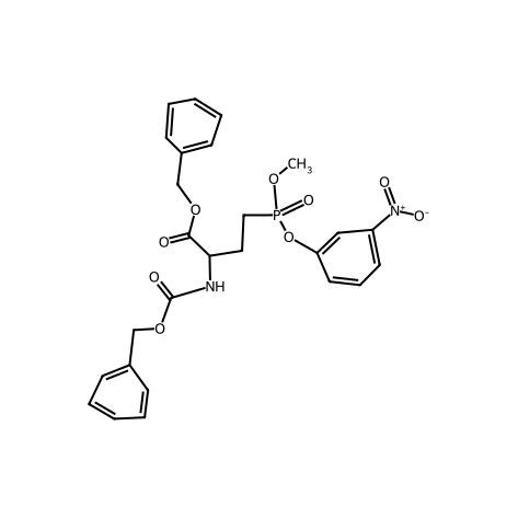 COP(=O)(CCC(NC(=O)OCc1ccccc1)C(=O)OCc1ccccc1)Oc1cccc([N+](=O)[O-])c1